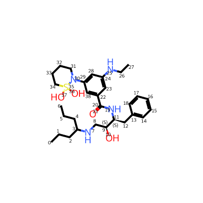 CCCC(CCC)NC[C@H](O)[C@H](Cc1ccccc1)NC(=O)c1cc(NCC)cc(N2CCCCS2(O)O)c1